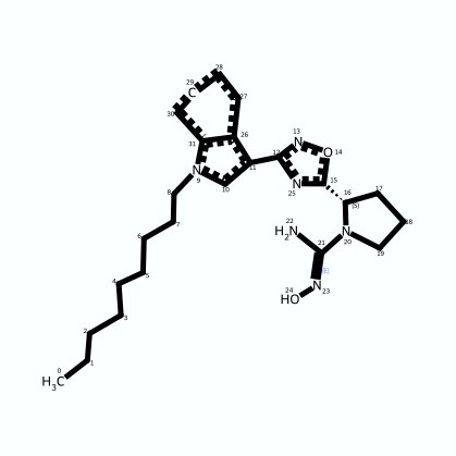 CCCCCCCCCn1cc(-c2noc([C@@H]3CCCN3/C(N)=N/O)n2)c2ccccc21